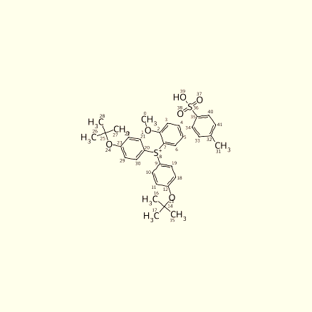 COc1ccccc1[S+](c1ccc(OC(C)(C)C)cc1)c1ccc(OC(C)(C)C)cc1.Cc1ccc(S(=O)(=O)O)cc1